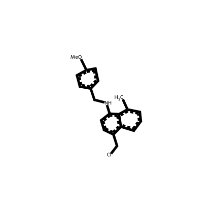 COc1ccc(CNc2ccc(CCl)c3cccc(C)c23)cc1